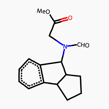 COC(=O)CN(C=O)C1c2ccccc2C2CCCC21